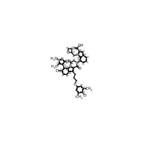 Cc1cc(OCCCc2c3n(c4c(-c5c(C)nn(C)c5C)c(Cl)ccc24)C(C)CN(c2cccc4cc(C(=O)O)n(CC5CCO5)c24)C3=O)cc(C)c1Cl